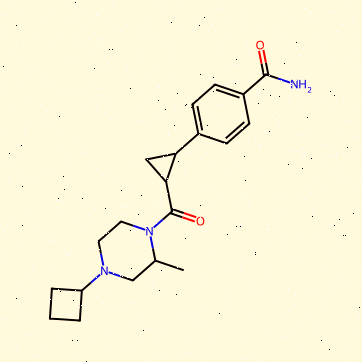 CC1CN(C2CCC2)CCN1C(=O)C1CC1c1ccc(C(N)=O)cc1